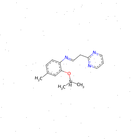 Cc1ccc(N=CCc2ncccn2)c(O[SiH](C)C)c1